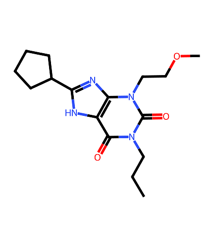 CCCn1c(=O)c2[nH]c(C3CCCC3)nc2n(CCOC)c1=O